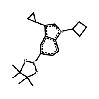 CC1(C)OB(c2ccc3c(c2)c(C2CC2)cn3C2CCC2)OC1(C)C